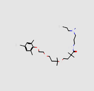 Cc1cc(C(C)(C)C)cc(C)c1OCCOCCC(C)(C)OCCC(C)(C)C(=O)NCCCN(C)CCC(C)C